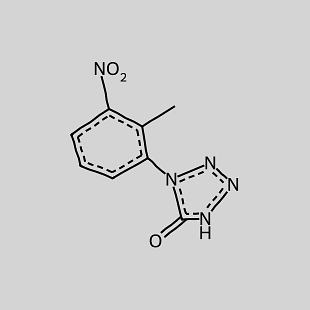 Cc1c(-n2nn[nH]c2=O)cccc1[N+](=O)[O-]